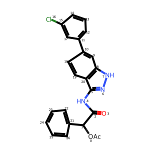 CC(=O)OC(C(=O)Nc1n[nH]c2cc(-c3cccc(Cl)c3)ccc12)c1ccccc1